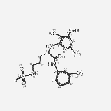 CSc1nc(N)nc(N[C@@H](CCCNS(C)(=O)=O)C(=O)Nc2cccc(C(F)(F)F)c2)c1C#N